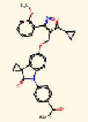 COC(=O)c1ccc(N2C(=O)C3(CC3)c3cc(OCc4c(-c5ccccc5OC(F)(F)F)noc4C4CC4)ccc32)cc1